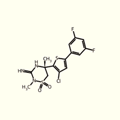 CN1C(=N)N[C@](C)(c2sc(-c3cc(F)cc(F)c3)cc2Cl)CS1(=O)=O